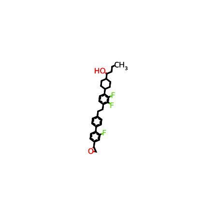 CCCC(O)C1CCC(c2ccc(CCc3ccc(-c4ccc(C5CO5)cc4F)cc3)c(F)c2F)CC1